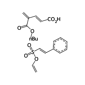 C=C(C=CC(=O)O)C(=O)OCCCC.C=COS(=O)(=O)C=Cc1ccccc1